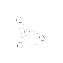 COc1ccc(CN2CCc3nn(Cc4ccccc4)c4nc(NCCc5cc(OC)cc(OC)c5)nc2c34)cc1